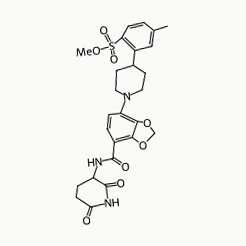 COS(=O)(=O)c1ccc(C)cc1C1CCN(c2ccc(C(=O)NC3CCC(=O)NC3=O)c3c2OCO3)CC1